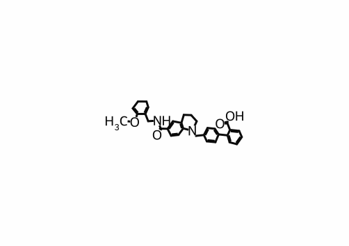 COC1=CCCC=C1CNC(=O)c1ccc2c(c1)CCCN2Cc1ccc(-c2ccccc2C(=O)O)cc1